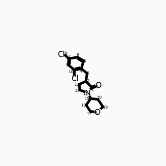 O=C1C(Cc2ccc(Cl)cc2Cl)CCN1C1CCOCC1